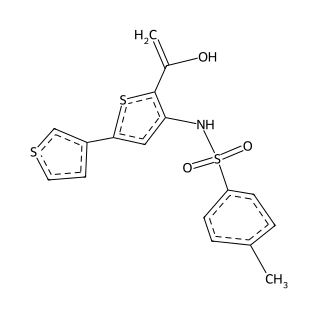 C=C(O)c1sc(-c2ccsc2)cc1NS(=O)(=O)c1ccc(C)cc1